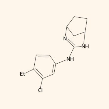 CCc1ccc(NC2=NC3CCC(C3)N2)cc1Cl